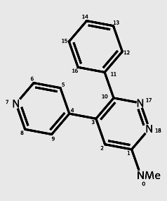 CNc1cc(-c2ccncc2)c(-c2ccccc2)nn1